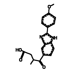 COc1ccc(-c2nc3cc(C(=O)C(C)CC(=O)O)ccc3[nH]2)cc1